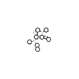 c1ccc(N(c2ccc3ccccc3c2)c2ccc3c(c2)sc2cccc(N(c4ccccc4)c4cccc5c4sc4ccccc45)c23)cc1